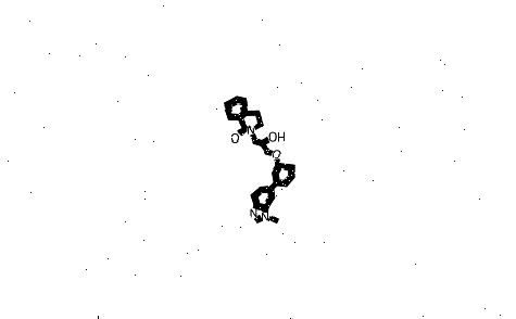 Cn1cnc2ccc(-c3cccc(OCC(O)CN4CCc5ccccc5C4=O)c3)cc21